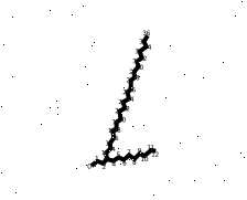 [CH2]CCC(CCCCCCCCC)CCCCCCCCCCCCCCCCCCCCCCCC